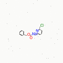 O=C(NCc1cccc(CCl)n1)OCc1ccccc1